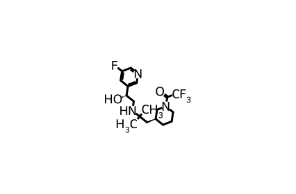 CC(C)(C[C@@H]1CCCN(C(=O)C(F)(F)F)C1)NC[C@H](O)c1cncc(F)c1